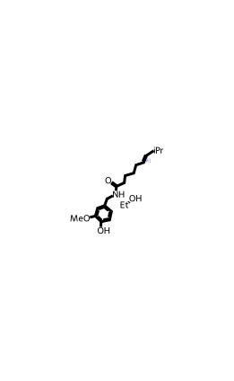 CCO.COc1cc(CNC(=O)CCCC/C=C/C(C)C)ccc1O